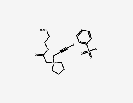 CCCCCCCCCCCCOC(=O)C[N+]1(CC#CI)CCCC1.O=S(=O)([O-])c1ccccc1